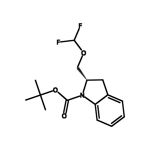 CC(C)(C)OC(=O)N1c2ccccc2C[C@H]1COC(F)F